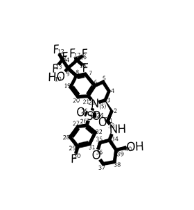 O=C(C[C@@H]1CCc2cc(C(O)(C(F)(F)F)C(F)(F)F)ccc2N1S(=O)(=O)c1ccc(F)cc1)NC1COCCC1O